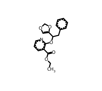 CCOC(=O)c1cccnc1OC(Cc1ccccc1)C1=COCO1